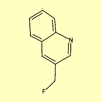 FCc1cnc2c[c]ccc2c1